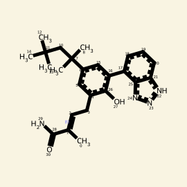 C/C(=C\Cc1cc(C(C)(C)CC(C)(C)C)cc(-c2cccc3[nH]nnc23)c1O)C(N)=O